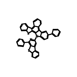 c1ccc(-c2ccc3c(c2)c2c4ccccc4c4c5ccccc5sc4c2n3-c2cc3c(sc4ccccc43)c(-c3ccccc3)n2)cc1